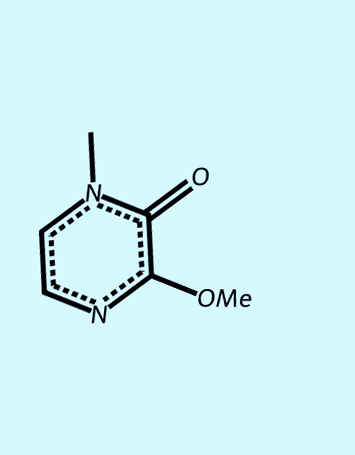 COc1nccn(C)c1=O